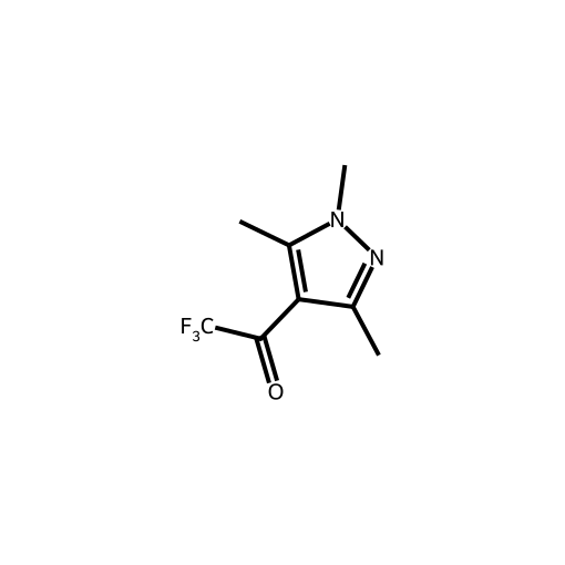 Cc1nn(C)c(C)c1C(=O)C(F)(F)F